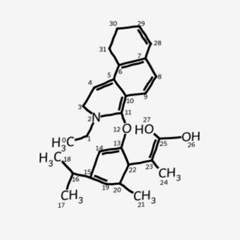 CCN1CC=c2c3c(ccc2=C1OC1=CC(C(C)C)=CC(C)C1C(C)=C(O)O)C=CCC3